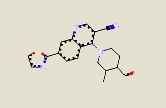 CC1CN(c2c(C#N)cnc3cc(-c4ncco4)ccc23)CCC1C=O